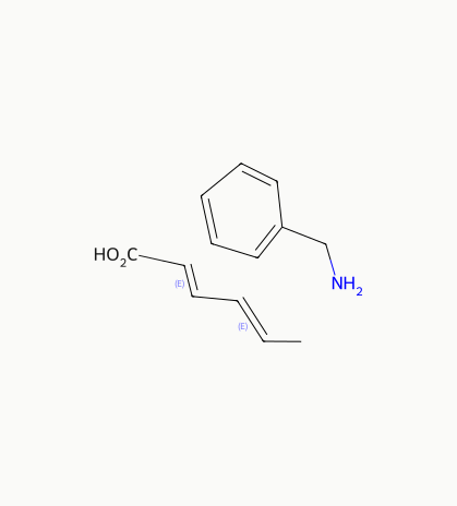 C/C=C/C=C/C(=O)O.NCc1ccccc1